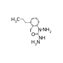 CCCc1cccc(N(N)C(=O)NN)c1I